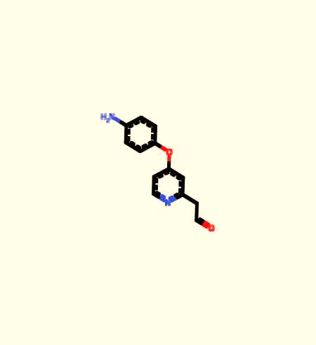 Nc1ccc(Oc2ccnc(CC=O)c2)cc1